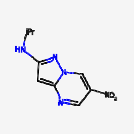 CC(C)Nc1cc2ncc([N+](=O)[O-])cn2n1